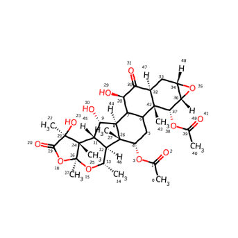 CC(=O)O[C@H]1CC2C([C@@H]3[C@@H](O)[C@@H]4[C@H]([C@H](C)O[C@@]5(C)OC(=O)[C@@](C)(O)[C@]45C)[C@@]13C)[C@@H](O)C(=O)[C@H]1C[C@@H]3O[C@@H]3[C@H](OC(C)=O)[C@]21C